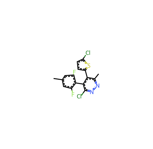 Cc1cc(F)c(-c2c(Cl)nnc(C)c2-c2ccc(Cl)s2)c(F)c1